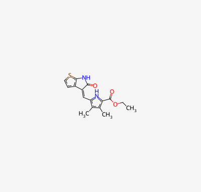 CCOC(=O)c1[nH]c(C=C2C(=O)Nc3sccc32)c(C)c1C